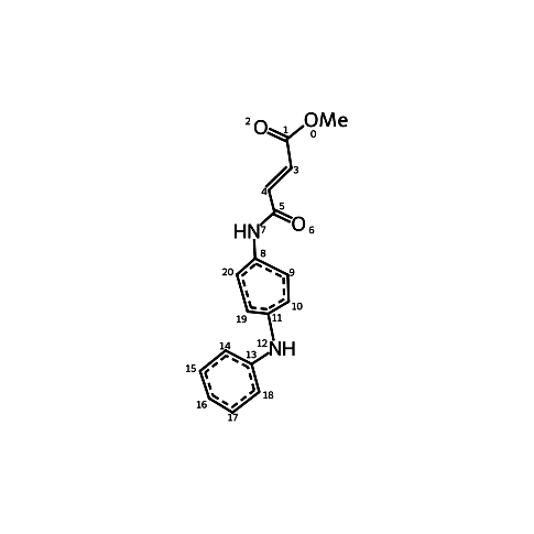 COC(=O)/C=C/C(=O)Nc1ccc(Nc2ccccc2)cc1